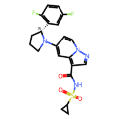 O=C(NS(=O)(=O)C1CC1)c1cnn2ccc(N3CCC[C@@H]3c3cc(F)ccc3F)cc12